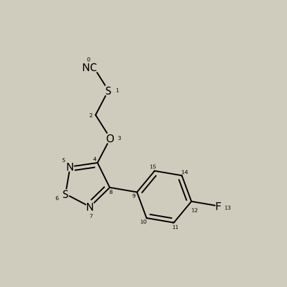 N#CSCOc1nsnc1-c1ccc(F)cc1